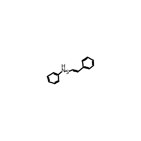 C(=C\c1ccccc1)/SNc1ccccc1